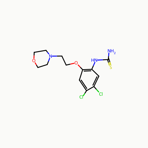 NC(=S)Nc1cc(Cl)c(Cl)cc1OCCN1CCOCC1